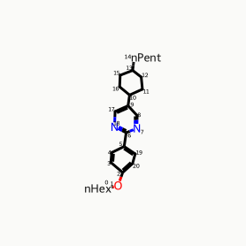 CCCCCCOc1ccc(-c2ncc(C3CCC(CCCCC)CC3)cn2)cc1